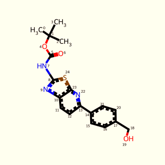 CC(C)(C)OC(=O)Nc1nc2ccc(-c3ccc(CO)cc3)nc2s1